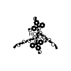 C#CCOCCOCCOCCO[C@H](COC(c1ccccc1)(c1ccc(OC)cc1)c1ccc(OC)cc1)[C@@H](O)[C@H](O)[C@@H](COC(c1ccccc1)(c1ccc(OC)cc1)c1ccc(OC)cc1)OCCOCCOCCOCC#C